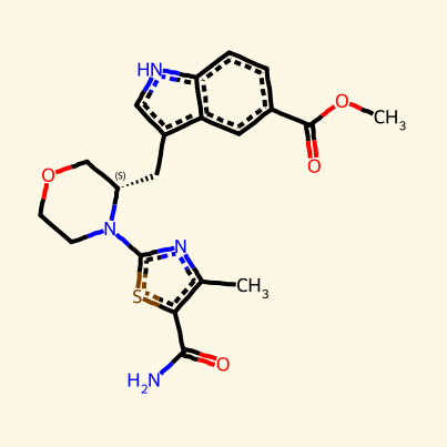 COC(=O)c1ccc2[nH]cc(C[C@H]3COCCN3c3nc(C)c(C(N)=O)s3)c2c1